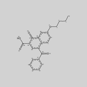 CCCCOc1ccc2c(C(=O)c3ccccc3)cc(C(=O)O)c(=O)n2c1